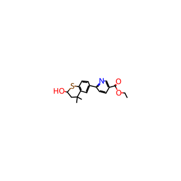 CCOC(=O)c1ccc(-c2ccc3c(c2)C(C)(C)CC(O)S3)nc1